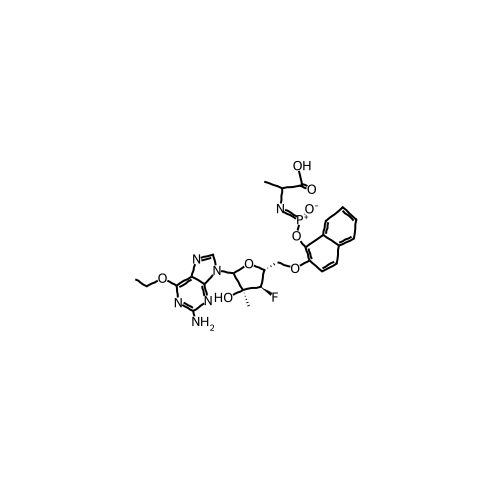 CCOc1nc(N)nc2c1ncn2C1O[C@H](COc2ccc3ccccc3c2O/[P+]([O-])=N/C(C)C(=O)O)[C@@H](F)[C@@]1(C)O